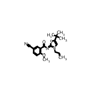 CCCn1cc(C(C)(C)C)sc1=NC(=O)c1cc(C#N)ccc1OC